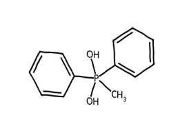 CP(O)(O)(c1ccccc1)c1ccccc1